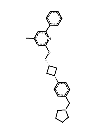 Cc1cc(-c2ccccc2)nc(OC[C@H]2C[C@@H](c3ccc(CN4CCCC4)cc3)C2)n1